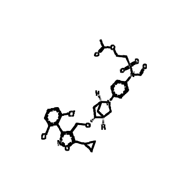 CC(=O)OCCS(=O)(=O)N(C=O)c1ccc(N2C[C@@H]3C[C@H]2C[C@H]3OCc2c(-c3c(Cl)cccc3Cl)noc2C2CC2)cc1